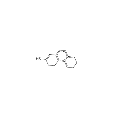 SC1=Cc2ccc3c(c2CC1)=CCCC=3